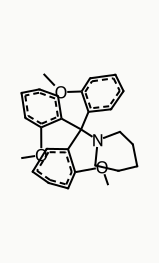 COc1ccccc1C(c1ccccc1OC)(c1ccccc1OC)N1CCCCC1